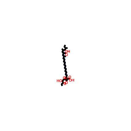 CCC(C)CC(C)/C=C(/C=C(C)/C=C/C=C/C=C/C=C/C=C/C=C/C1=C(C(=O)O)C2OOC(CC)C(O)C(O1)C2O)C(=O)O